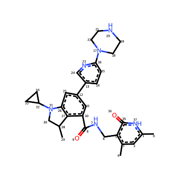 Cc1cc(C)c(CNC(=O)c2cc(-c3ccc(N4CCNCC4)nc3)cc3c2C(C)CN3C2CC2)c(=O)[nH]1